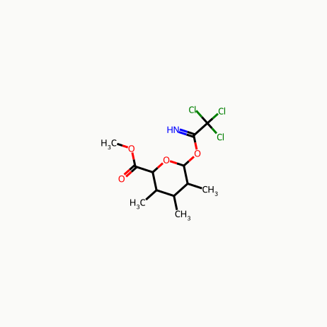 COC(=O)C1OC(OC(=N)C(Cl)(Cl)Cl)C(C)C(C)C1C